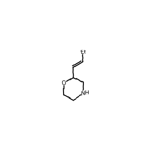 CCC=CC1CNCCO1